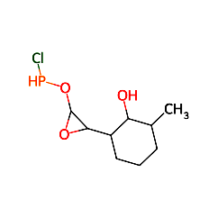 CC1CCCC(C2OC2OPCl)C1O